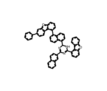 c1ccc(-c2ccc3c(c2)oc2cccc(-c4cccc5c(C6N=C(c7ccc8ccccc8c7)N=C(c7cccc8oc9ccccc9c78)N6)cccc45)c23)cc1